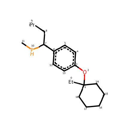 CCC1(Oc2ccc(C(CC(C)C)PC)cc2)CCCCC1